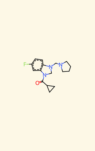 O=C(C1CC1)N1CN(CN2CCCC2)c2ccc(F)cc21